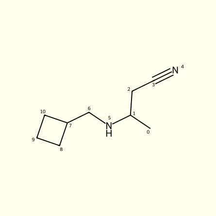 CC(CC#N)NCC1CCC1